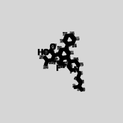 CC(C)/C=C/CN1CCC(c2cc(-c3ccccc3)cc(C(CC(C)C)C(=O)O)c2C(F)(F)F)CC1